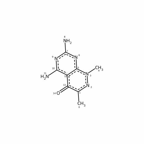 Cc1nn(C)c2nc(N)nc(N)c2c1=O